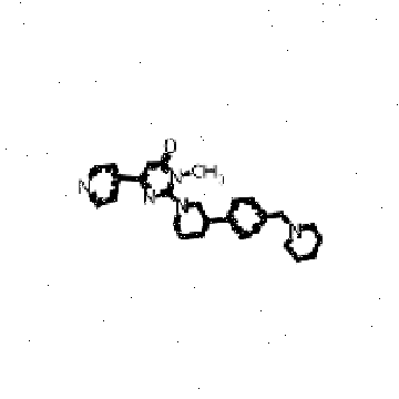 Cn1c(N2CCCC(c3ccc(CN4CCCCC4)cc3)C2)nc(-c2ccncc2)cc1=O